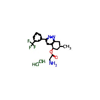 CC1Cc2nnc(-c3cccc(C(F)(F)F)c3)cc2C(OC(=O)CN)C1.Cl.Cl